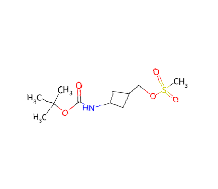 CC(C)(C)OC(=O)NC1CC(COS(C)(=O)=O)C1